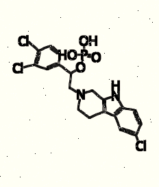 O=P(O)(O)OC(CN1CCc2c([nH]c3ccc(Cl)cc23)C1)c1ccc(Cl)c(Cl)c1